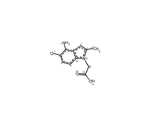 Cc1cc2c(N)c(Cl)ccc2n1CC(=O)O